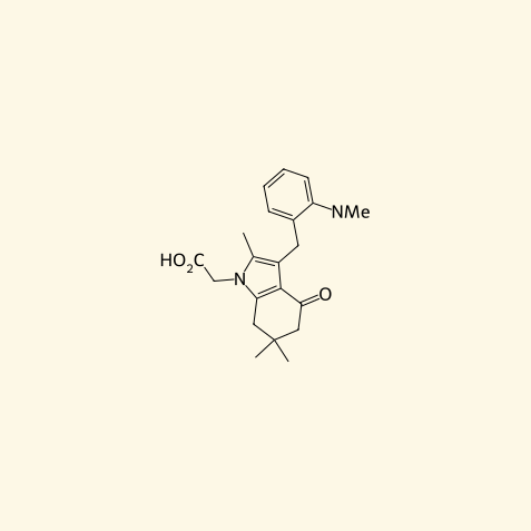 CNc1ccccc1Cc1c2c(n(CC(=O)O)c1C)CC(C)(C)CC2=O